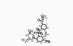 COC(=O)c1ccc(C2CC2)c(S(=O)(=O)Nc2cc(C#N)ccc2N2CC(C)CC(C)C2)c1